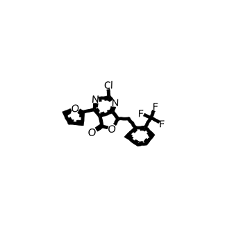 O=C1OC(Cc2ccccc2C(F)(F)F)c2nc(Cl)nc(-c3ccco3)c21